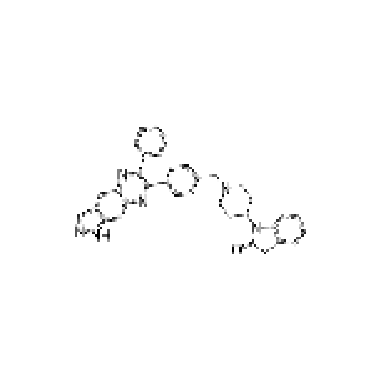 O=C1Cc2ccccc2N1C1CCN(Cc2ccc(-c3nc4cc5[nH]ncc5cc4nc3-c3ccccc3)cc2)CC1